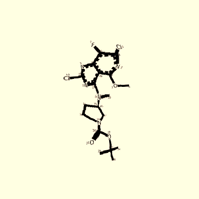 COc1nc(Cl)c(F)c2nc(Cl)nc(N(C)[C@@H]3CCN(C(=O)OC(C)(C)C)C3)c12